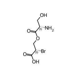 N[C@@H](CO)C(=O)OC[C@H](Br)C(=O)O